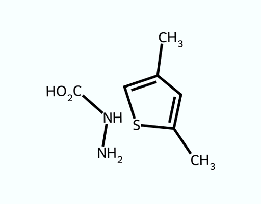 Cc1csc(C)c1.NNC(=O)O